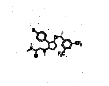 C[C@@H](OC1CCC(N(C)CC(=O)N(C)C)C1c1ccc(F)cc1)c1cc(C(F)(F)F)cc(C(F)(F)F)c1